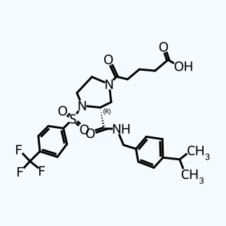 CC(C)c1ccc(CNC(=O)[C@H]2CN(C(=O)CCCC(=O)O)CCN2S(=O)(=O)c2ccc(C(F)(F)F)cc2)cc1